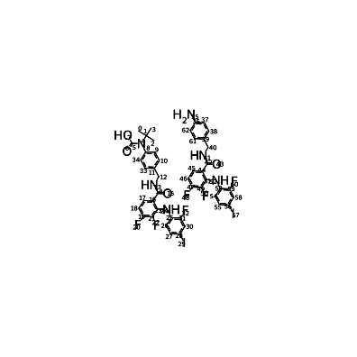 CC(C)(C)N(C(=O)O)c1ccc(CNC(=O)c2ccc(F)c(F)c2Nc2ccc(I)cc2F)cc1.Nc1ccc(CNC(=O)c2ccc(F)c(F)c2Nc2ccc(I)cc2F)cc1